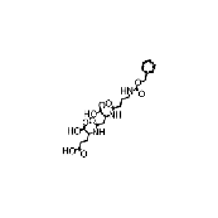 O=C(O)CC[C@H](NC(=O)C[C@H](NC(=O)CCCNC(=O)OCc1ccccc1)C(=O)O)C(=O)O